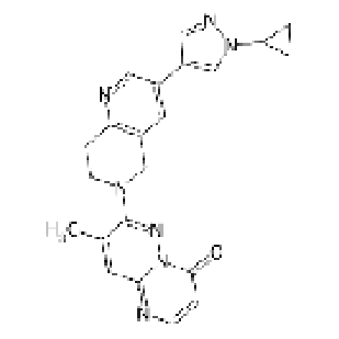 Cc1cc2nccc(=O)n2nc1N1CCc2ncc(-c3cnn(C4CC4)c3)cc2C1